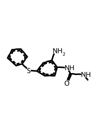 CNC(=O)Nc1ccc(Sc2ccccc2)cc1N